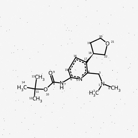 CN(C)Cc1nc(NC(=O)OC(C)(C)C)ccc1[C@H]1CCOC1